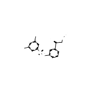 CC(=O)SCC(=O)c1cccc(NS(=O)(=O)c2cc(C)cc(C)c2)c1